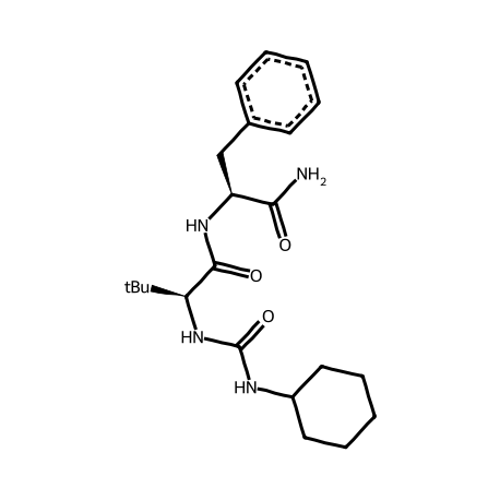 CC(C)(C)[C@H](NC(=O)NC1CCCCC1)C(=O)N[C@@H](Cc1ccccc1)C(N)=O